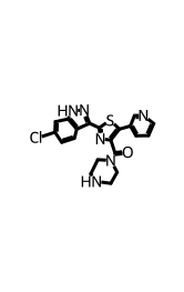 O=C(c1nc(-c2n[nH]c3cc(Cl)ccc23)sc1-c1cccnc1)N1CCNCC1